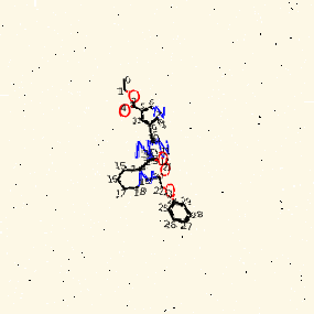 CCOC(=O)c1cncc(-c2noc(C3CCCCN3C(=O)COc3ccccc3)n2)c1